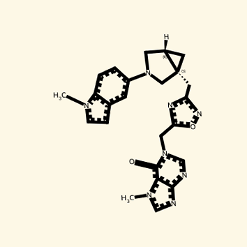 Cn1ccc2cc(N3C[C@@H]4C[C@@]4(Cc4noc(Cn5cnc6ncn(C)c6c5=O)n4)C3)ccc21